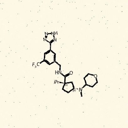 CC(C)[C@]1(C(=O)NCc2cc(-c3nn[nH]n3)cc(C(F)(F)F)c2)CC[C@@H](N(C)C2CCOCC2)C1